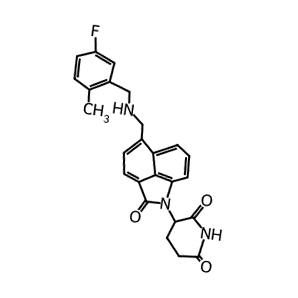 Cc1ccc(F)cc1CNCc1ccc2c3c(cccc13)N(C1CCC(=O)NC1=O)C2=O